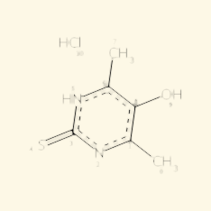 Cc1nc(=S)[nH]c(C)c1O.Cl